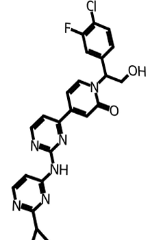 O=c1cc(-c2ccnc(Nc3ccnc(C4CC4)n3)n2)ccn1C(CO)c1ccc(Cl)c(F)c1